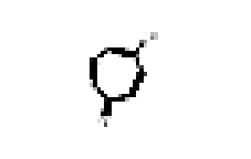 O=c1ccc(O)ccn1